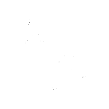 CSCC[C@H](NC(=O)c1cc(NC[C@H]2NCC[C@H]2S)ccc1Cc1ccccc1)C(=O)OC(C)C